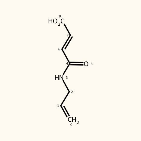 C=CCNC(=O)C=CC(=O)O